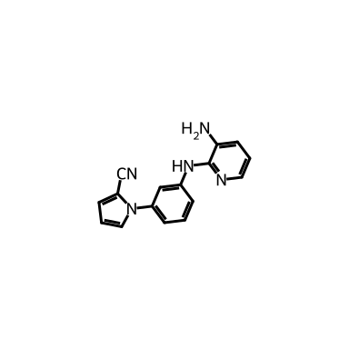 N#Cc1cccn1-c1cccc(Nc2ncccc2N)c1